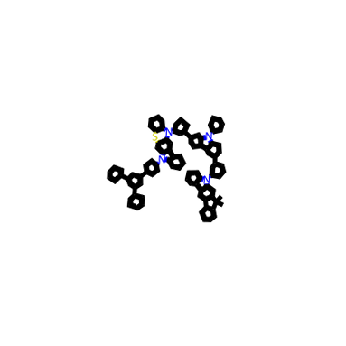 CC1(C)c2ccccc2-c2cc3c4ccccc4n(-c4cccc(-c5ccc6c(c5)c5ccc(-c7cccc(N8c9ccccc9Sc9cc%10c(cc98)c8ccccc8n%10-c8ccc(-c9cc(-c%10ccccc%10)cc(-c%10ccccc%10)c9)cc8)c7)cc5n6-c5ccccc5)c4)c3cc21